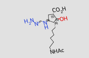 CC(=O)NCCCCCC[C@H]1[C@H](O)[C@@H](C(=O)O)C[C@H]1NC=NN